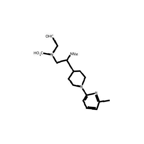 CNC(CN(CC=O)C(=O)O)C1CCN(c2cccc(C)n2)CC1